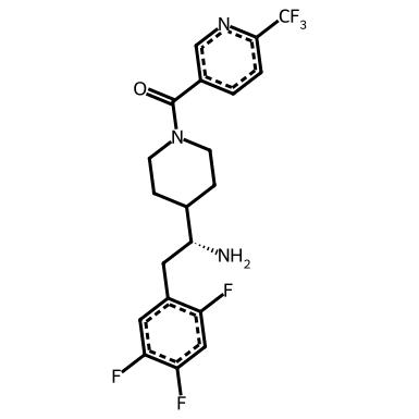 N[C@H](Cc1cc(F)c(F)cc1F)C1CCN(C(=O)c2ccc(C(F)(F)F)nc2)CC1